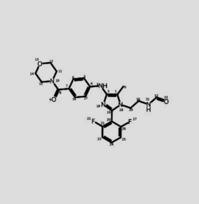 Cc1c(Nc2ccc(C(=O)N3CCOCC3)cc2)nc(-c2c(F)cccc2F)n1CCNC=O